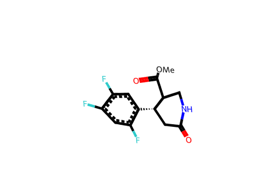 COC(=O)C1CNC(=O)C[C@@H]1c1cc(F)c(F)cc1F